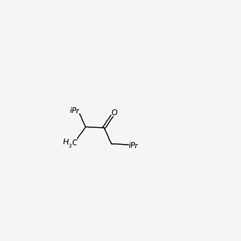 CC(C)CC(=O)C(C)C(C)C